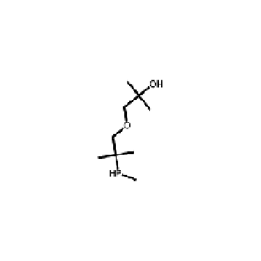 CPC(C)(C)COCC(C)(C)O